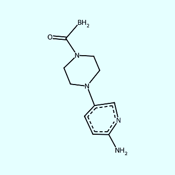 BC(=O)N1CCN(c2ccc(N)nc2)CC1